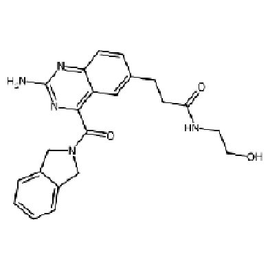 Nc1nc(C(=O)N2Cc3ccccc3C2)c2cc(CCC(=O)NCCO)ccc2n1